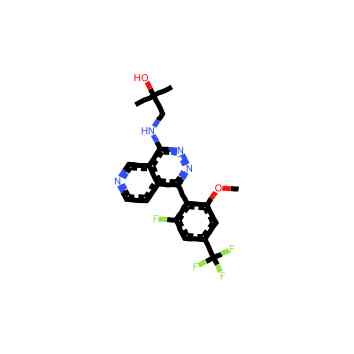 COc1cc(C(F)(F)F)cc(F)c1-c1nnc(NCC(C)(C)O)c2cnccc12